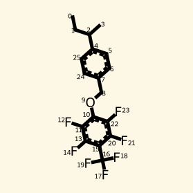 CCC(C)c1ccc(COc2c(F)c(F)c(C(F)(F)F)c(F)c2F)cc1